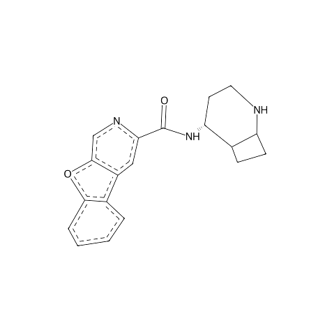 O=C(N[C@@H]1CCNC2CCC21)c1cc2c(cn1)oc1ccccc12